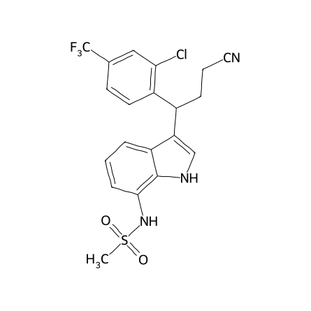 CS(=O)(=O)Nc1cccc2c(C(CCC#N)c3ccc(C(F)(F)F)cc3Cl)c[nH]c12